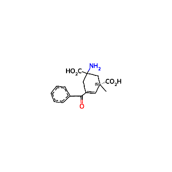 C[C@@]1(C(=O)O)C=C(C(=O)c2ccccc2)CC(N)(C(=O)O)C1